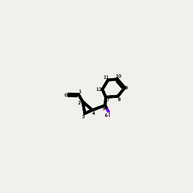 C=CC1CC1C(I)C1CC=CCC1